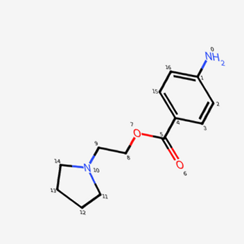 Nc1ccc(C(=O)OCCN2CCCC2)cc1